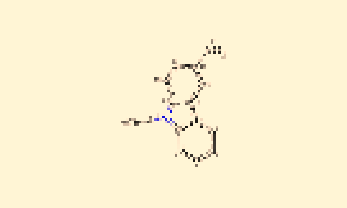 CCCCCCCCn1c2ccccc2c2cc([N+](=O)[O-])ccc21